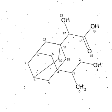 CC(CO)C12CC3CC(C1)CC(C(O)C(=O)O)(C3)C2